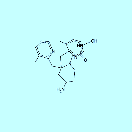 Cc1cccnc1CC1(Cc2ncccc2C)CC(N)CCN1CC(=O)NO